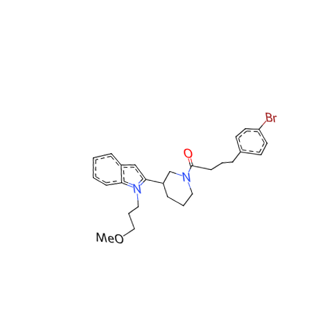 COCCCn1c(C2CCCN(C(=O)CCCc3ccc(Br)cc3)C2)cc2ccccc21